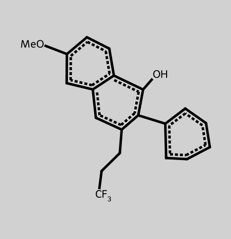 COc1ccc2c(O)c(-c3ccccc3)c(CCC(F)(F)F)cc2c1